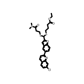 CCOC(=O)CCCSC(SCCC(=O)N(C)C)c1cc2cc(-c3ccc4ccc(Cl)cc4n3)ccc2o1